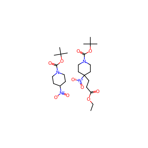 CC(C)(C)OC(=O)N1CCC([N+](=O)[O-])CC1.CCOC(=O)CCC1([N+](=O)[O-])CCN(C(=O)OC(C)(C)C)CC1